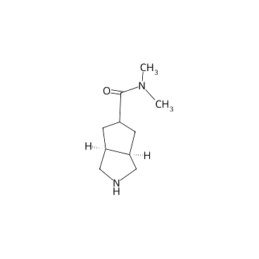 CN(C)C(=O)C1C[C@H]2CNC[C@H]2C1